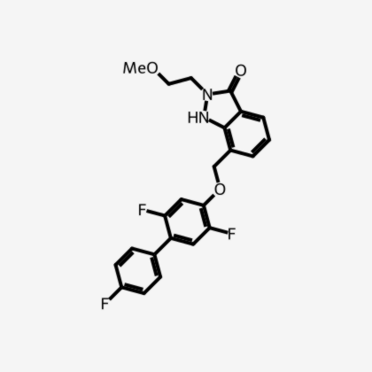 COCCn1[nH]c2c(COc3cc(F)c(-c4ccc(F)cc4)cc3F)cccc2c1=O